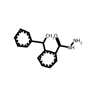 CC(c1ccccc1)c1ccccc1C(=O)NN